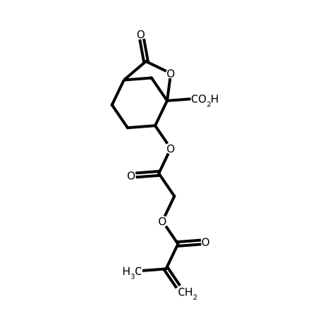 C=C(C)C(=O)OCC(=O)OC1CCC2CC1(C(=O)O)OC2=O